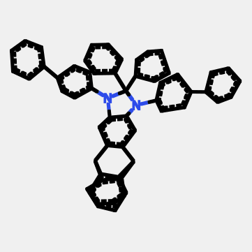 c1ccc(-c2ccc(N3c4cc5c(cc4N(c4ccc(-c6ccccc6)cc4)C3(c3ccccc3)c3ccccc3)C3c4ccccc4C5c4ccccc43)cc2)cc1